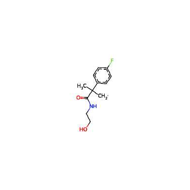 [CH2]C(C)(C(=O)NCCO)c1ccc(F)cc1